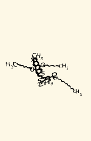 CCCCCCCCCCCCOC(=O)c1cc2c(-c3cc4cc5c(OCCCCCCCC)c6cc7sc(C)cc7cc6c(OCCCCCCCC)c5cc4s3)sc(C)c2s1